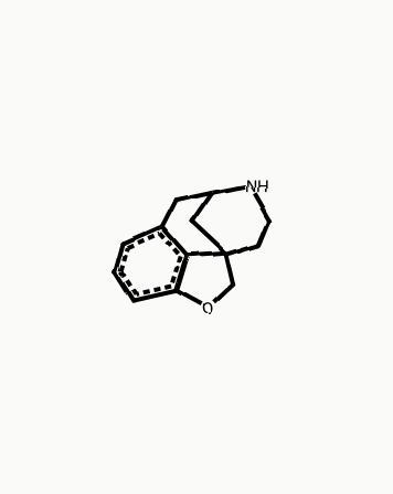 c1cc2c3c(c1)OCC31CCNC(C2)C1